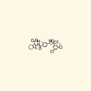 Cc1cc(C2=NOC(c3cc(Cl)cc(Cl)c3)(C(F)(F)F)C2)ccc1C(=O)Nc1sc2c(c1C(=O)N(C)C)CCCC2